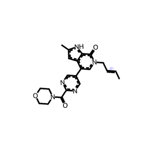 C/C=C/Cn1cc(-c2cnc(C(=O)N3CCOCC3)nc2)c2cc(C)[nH]c2c1=O